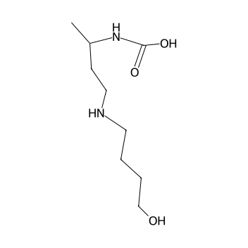 CC(CCNCCCCO)NC(=O)O